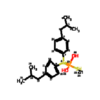 CC(C)Cc1ccc(S(c2ccc(CC(C)C)cc2)=P(O)(O)S)cc1.[Zn]